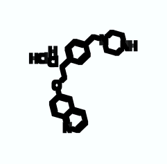 Cl.Cl.c1cnc2ccc(OCCc3ccc(CN4CCNCC4)cc3)cc2c1